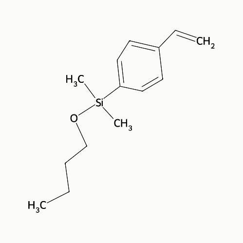 C=Cc1ccc([Si](C)(C)OCCCC)cc1